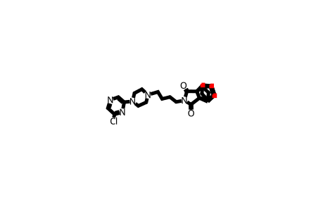 O=C1N(CCCCN2CCN(c3cncc(Cl)n3)CC2)C(=O)C23C4C=CC(C4)C12C1C=CC3C1